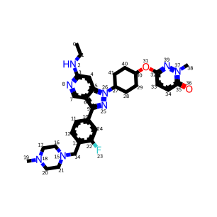 CCNc1cc2c(cn1)c(-c1ccc(CN3CCN(C)CC3)c(F)c1)nn2C1CCC(Oc2ccc(=O)n(C)n2)CC1